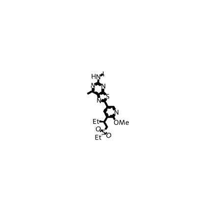 CCC(CS(=O)(=O)CC)c1cc(-c2nc3c(C)nc(NI)nc3s2)cnc1OC